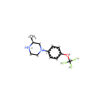 C[C@H]1CN(c2ccc(OC(F)(F)F)cc2)CCN1